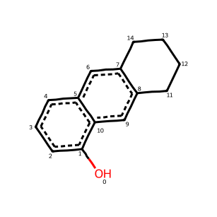 Oc1cccc2cc3c(cc12)CCCC3